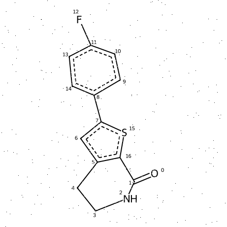 O=C1NCCc2cc(-c3ccc(F)cc3)sc21